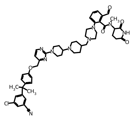 CN(C(=O)c1c(C=O)cccc1N1CCN(CC2CCN(C3CCN(c4nccc(COc5ccc(C(C)(C)c6cc(Cl)cc(C#N)c6)cc5)n4)CC3)CC2)CC1)C1CCC(=O)NC1=O